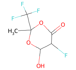 CC1(C(F)(F)F)OC(=O)C(F)C(O)O1